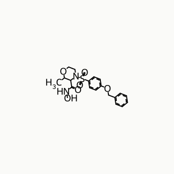 CC1OCCN(S(=O)(=O)c2ccc(OCc3ccccc3)cc2)C1C(=O)NO